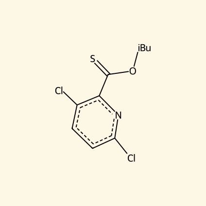 CCC(C)OC(=S)c1nc(Cl)ccc1Cl